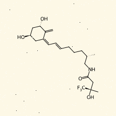 C=C1/C(=C\C=C\CCC[C@H](C)CNC(=O)C[C@](C)(O)C(F)(F)F)C[C@@H](O)C[C@@H]1O